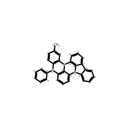 Cc1ccc2c(c1)B1c3c(cccc3-n3c4ccccc4c4cccc1c43)N2c1ccccc1